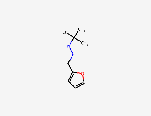 CCC(C)(C)NNCc1ccco1